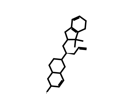 C=CC[C@H](CC1CC2=C(CCC=C2)C1(C)C)C1CCC2CC(I)C=CC2C1